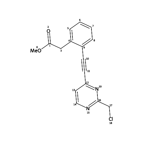 COC(=O)Cc1ccccc1C#Cc1ccnc(CCl)n1